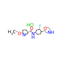 CCOc1ccc(C(=O)Nc2ccc([C@@H]3CNCCO3)c(F)c2)cn1.Cl